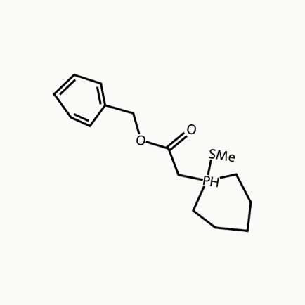 CS[PH]1(CC(=O)OCc2ccccc2)CCCCC1